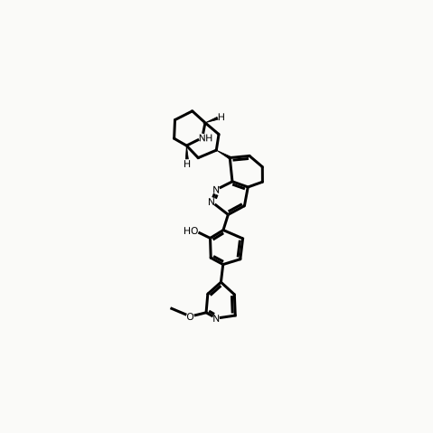 COc1cc(-c2ccc(-c3cc4c(nn3)C([C@@H]3C[C@H]5CCC[C@@H](C3)N5)=CCC4)c(O)c2)ccn1